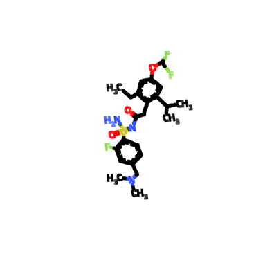 CCc1cc(OC(F)F)cc(C(C)C)c1CC(=O)N=S(N)(=O)c1ccc(CN(C)C)cc1F